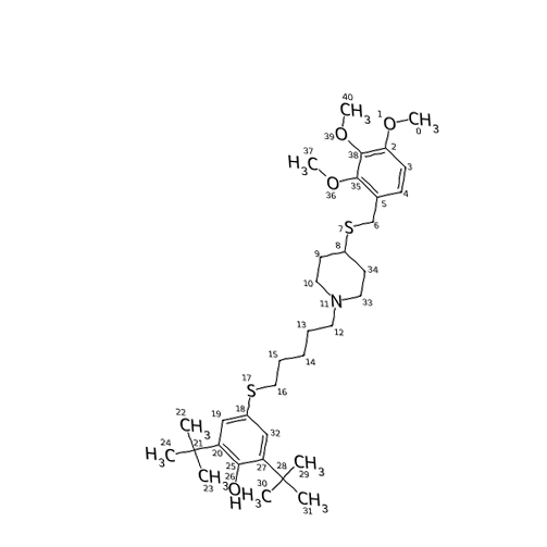 COc1ccc(CSC2CCN(CCCCCSc3cc(C(C)(C)C)c(O)c(C(C)(C)C)c3)CC2)c(OC)c1OC